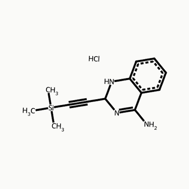 C[Si](C)(C)C#CC1N=C(N)c2ccccc2N1.Cl